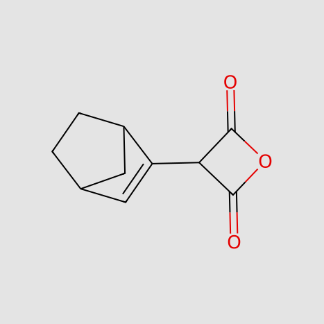 O=C1OC(=O)C1C1=CC2CCC1C2